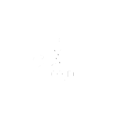 CCOC(=O)/C(=N/N=C(/Cl)C1CCCCC1)c1cccs1